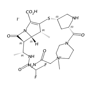 C[C@@H](NC(=O)C(F)F)[C@H]1C(=O)N2C(C(=O)O)=C(S[C@@H]3CN[C@H](C(=O)N4CC[N+](C)(CC(N)=O)CC4)C3)[C@H](C)[C@H]12.[I-]